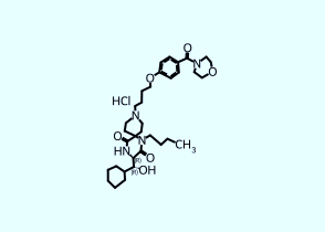 CCCCN1C(=O)[C@@H]([C@H](O)C2CCCCC2)NC(=O)C12CCN(CCCCOc1ccc(C(=O)N3CCOCC3)cc1)CC2.Cl